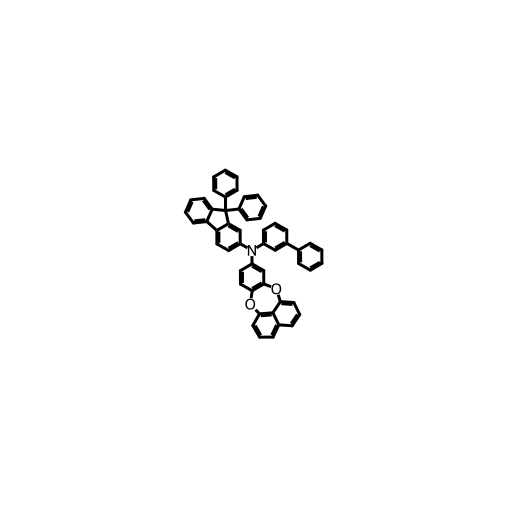 c1ccc(-c2cccc(N(c3ccc4c(c3)Oc3cccc5cccc(c35)O4)c3ccc4c(c3)C(c3ccccc3)(c3ccccc3)c3ccccc3-4)c2)cc1